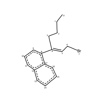 CCCCC(=CCBr)c1cccc2ccccc12